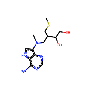 CSCC(CN(C)c1c[nH]c2c(N)ncnc12)C(O)CO